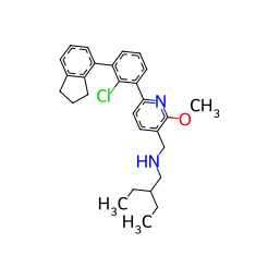 CCC(CC)CNCc1ccc(-c2cccc(-c3cccc4c3CCC4)c2Cl)nc1OC